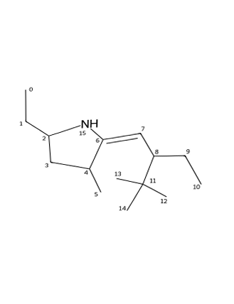 CCC1CC(C)/C(=C\C(CC)C(C)(C)C)N1